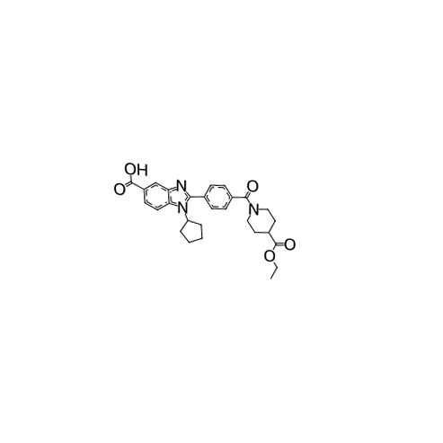 CCOC(=O)C1CCN(C(=O)c2ccc(-c3nc4cc(C(=O)O)ccc4n3C3CCCC3)cc2)CC1